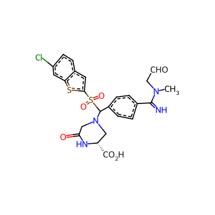 CN(CC=O)C(=N)c1ccc(C(N2CC(=O)N[C@@H](C(=O)O)C2)S(=O)(=O)c2cc3ccc(Cl)cc3s2)cc1